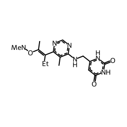 CC/C(=C(/C)ONC)c1ncnc(NCc2cc(=O)[nH]c(=O)[nH]2)c1C